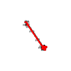 O=C(O)NCCCC[C@H](NC(=O)O)C(=O)NCCCOCCOCCOCCCNC(=O)CCOCCOCCOCCOCCOCCC(=O)NCCCOCCOCCOCCCNC(=O)[C@H](CCC(Cc1ccccc1)(Cc1ccccc1)C(Cc1ccccc1)(Cc1ccccc1)NC(=O)O)NC(=O)O